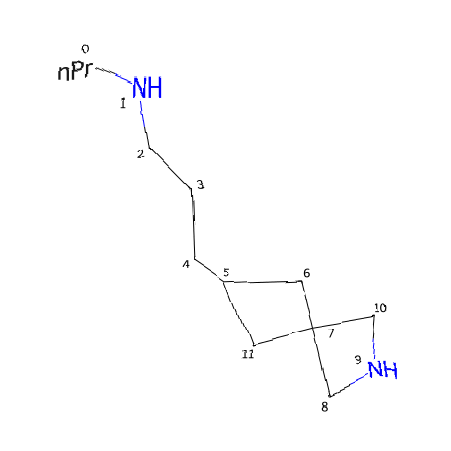 CCCNCCCC1CC2(CNC2)C1